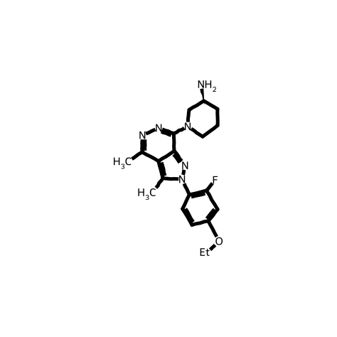 CCOc1ccc(-n2nc3c(N4CCC[C@H](N)C4)nnc(C)c3c2C)c(F)c1